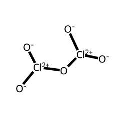 [O-][Cl+2]([O-])O[Cl+2]([O-])[O-]